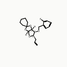 C=CC[C@H]1O[C@@H]2OC3(CCCCC3)O[C@@H]2[C@H]1OCc1ccccc1F